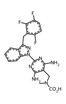 CN(Cc1c(N)nc(-n2nc(Cc3c(F)ccc(F)c3F)c3ccccc32)nc1N)C(=O)O